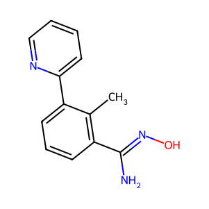 Cc1c(C(N)=NO)cccc1-c1ccccn1